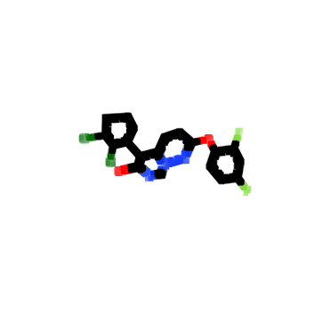 O=c1ncn2nc(Oc3ccc(F)cc3F)ccc2c1-c1cccc(Cl)c1Cl